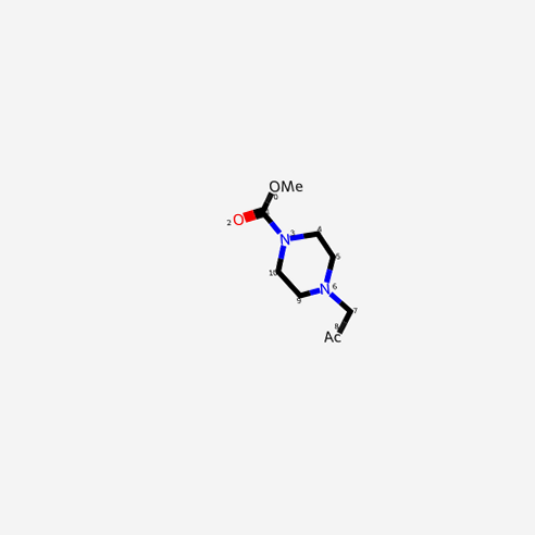 COC(=O)N1CCN(CC(C)=O)CC1